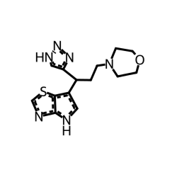 c1nc2[nH]cc(C(CCN3CCOCC3)c3c[nH]nn3)c2s1